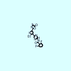 CCc1ncc(-c2nn(C)c(=O)o2)cc1-c1cnc(NC(=O)c2c(F)cccc2F)cn1